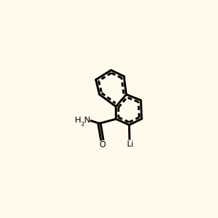 [Li][c]1ccc2ccccc2c1C(N)=O